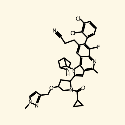 Cc1nc2c(F)c(-c3cccc(Cl)c3Cl)c(CCC#N)cc2c2c1cc(C1CC(OCc3ccn(C)n3)CN1C(=O)C1CC1)n2C1C2CNC1C2